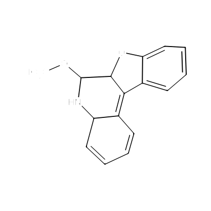 O=C(O)OC1NC2C=CC=CC2=C2c3ccccc3OC21